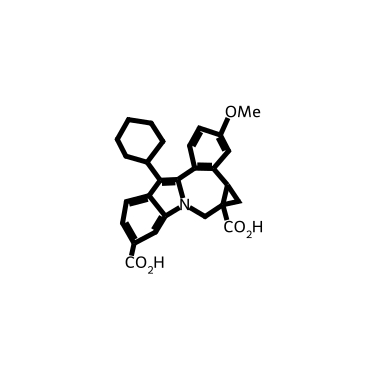 COc1ccc2c(c1)C1CC1(C(=O)O)Cn1c-2c(C2CCCCC2)c2ccc(C(=O)O)cc21